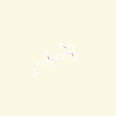 CCC(C)COC(=O)NCON1C(=O)CCC1=O